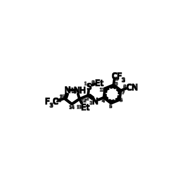 CCSC(=Nc1ccc(C#N)c(C(F)(F)F)c1)C1(CC)CC(C(F)(F)F)=NN1